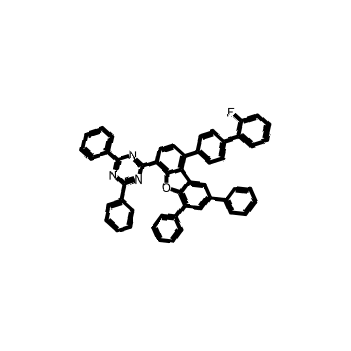 Fc1ccccc1-c1ccc(-c2ccc(-c3nc(-c4ccccc4)nc(-c4ccccc4)n3)c3oc4c(-c5ccccc5)cc(-c5ccccc5)cc4c23)cc1